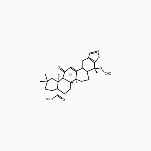 COC(=O)[C@]12CCC(C)(C)C[C@H]1[C@H]1C(=O)C=C3[C@@]4(C)Cc5cnoc5[C@](C)(OC=O)C4CC[C@@]3(C)[C@]1(C)CC2